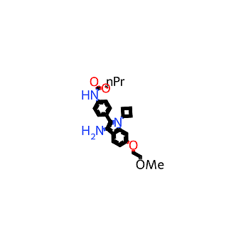 CCCOC(=O)Nc1ccc(-c2c(N)c3ccc(OCCOC)cc3n2C2CCC2)cc1